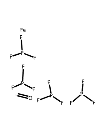 FP(F)F.FP(F)F.FP(F)F.FP(F)F.[C]=O.[Fe]